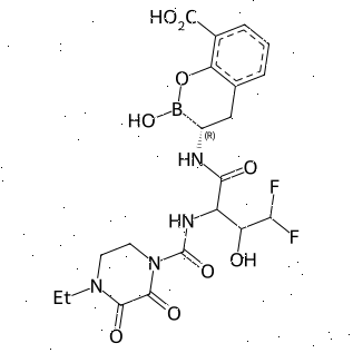 CCN1CCN(C(=O)NC(C(=O)N[C@H]2Cc3cccc(C(=O)O)c3OB2O)C(O)C(F)F)C(=O)C1=O